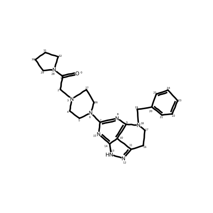 O=C(CN1CCN(c2nc3c4c(n[nH]c4n2)CCN3Cc2ccccc2)CC1)N1CCCC1